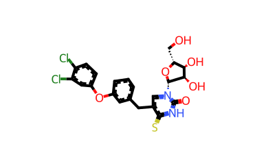 O=c1[nH]c(=S)c(Cc2cccc(Oc3ccc(Cl)c(Cl)c3)c2)cn1[C@@H]1O[C@H](CO)[C@@H](O)[C@H]1O